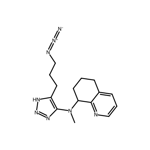 CN(c1nn[nH]c1CCCN=[N+]=[N-])C1CCCc2cccnc21